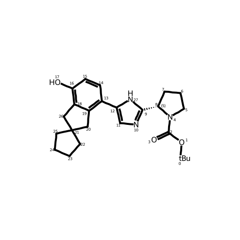 CC(C)(C)OC(=O)N1CCC[C@H]1c1ncc(-c2ccc(O)c3c2CC2(CCCC2)C3)[nH]1